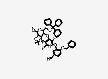 COC1OC(COC(c2ccccc2)(c2ccccc2)c2ccccc2)C(Oc2c(F)c(F)nc(Oc3cc(C#N)ccc3OCc3ccccc3)c2F)C2OC(C)(C)OC12